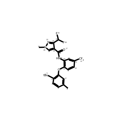 Cc1ccc(C(C)(C)C)c(Oc2ccc(C(F)(F)F)cc2NC(=O)c2cn(C)nc2C(F)F)c1